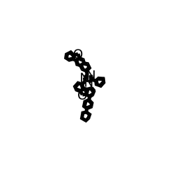 c1cc(-c2ccc(C3CCCCC3)cc2)c2oc3cccc(-c4nc(-c5ccccc5)nc(-c5ccc6cc7oc8ccccc8c7cc6c5)n4)c3c2c#1